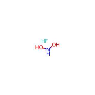 F.ONO